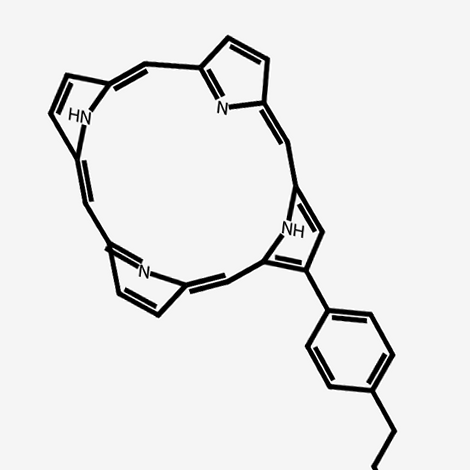 OCCc1ccc(-c2cc3cc4nc(cc5ccc(cc6nc(cc2[nH]3)C=C6)[nH]5)C=C4)cc1